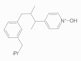 CC(C)Cc1cccc(CC(C)C(C)c2cc[n+](O)cc2)c1